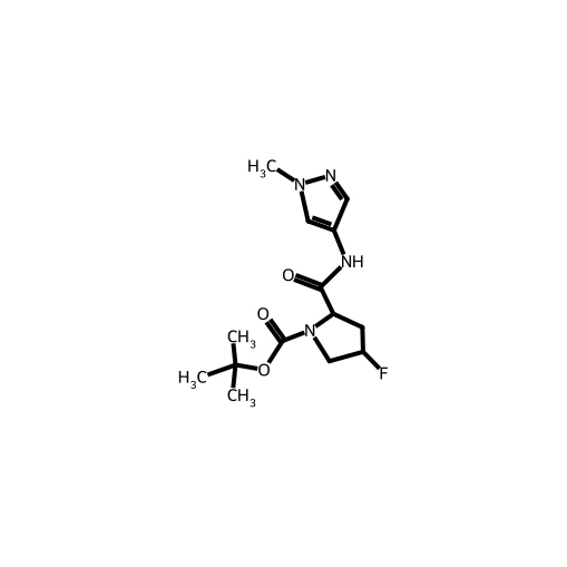 Cn1cc(NC(=O)C2CC(F)CN2C(=O)OC(C)(C)C)cn1